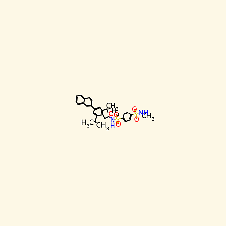 CNS(=O)(=O)c1ccc(S(=O)(=O)NC(=O)Cc2c(C(C)C)cc(-c3ccc4ccccc4c3)cc2C(C)C)cc1